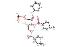 CC(=O)OC1S[C@H](COC(=O)c2ccc(Cl)cc2)[C@H](OC(=O)c2ccc(Cl)cc2)C1OCc1ccccc1